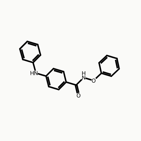 O=C(NOc1ccccc1)c1ccc(Nc2ccccc2)cc1